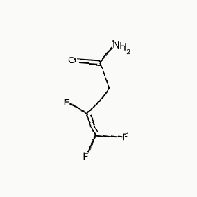 NC(=O)CC(F)=C(F)F